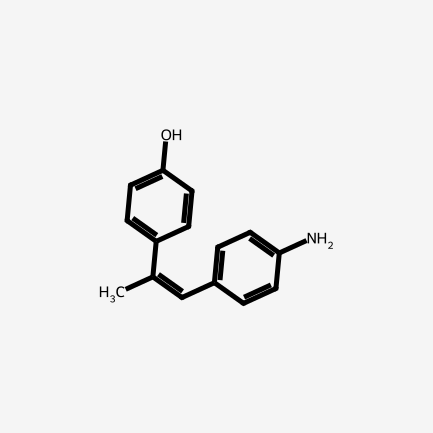 CC(=Cc1ccc(N)cc1)c1ccc(O)cc1